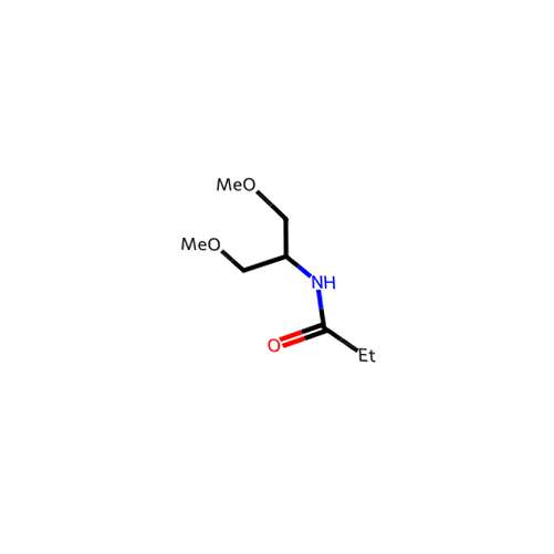 CCC(=O)NC(COC)COC